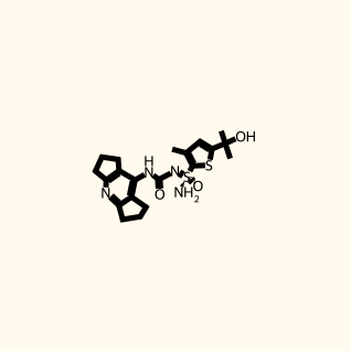 Cc1cc(C(C)(C)O)sc1[S@](N)(=O)=NC(=O)Nc1c2c(nc3c1CCC3)CCC2